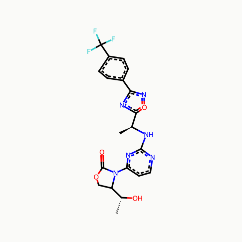 C[C@H](Nc1nccc(N2C(=O)OCC2[C@@H](C)O)n1)c1nc(-c2ccc(C(F)(F)F)cc2)no1